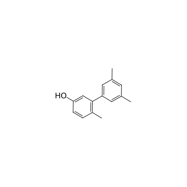 Cc1cc(C)cc(-c2cc(O)ccc2C)c1